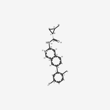 Cc1ccc(F)cc1-c1ccc2cc(NC(=O)[C@@H]3CC3C)ncc2c1